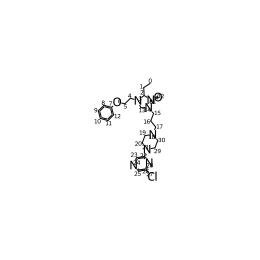 CCC1N(CCOc2ccccc2)CN(CCCN2CCN(c3cncc(Cl)n3)CC2)[N+]1=O